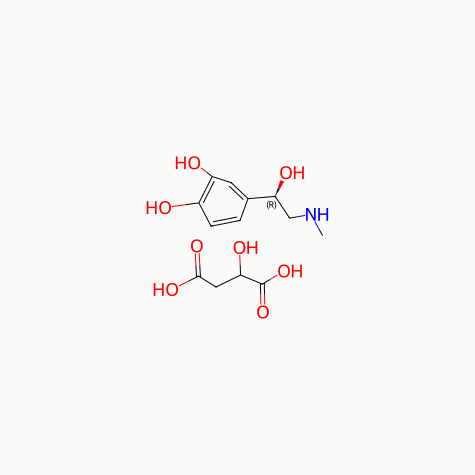 CNC[C@H](O)c1ccc(O)c(O)c1.O=C(O)CC(O)C(=O)O